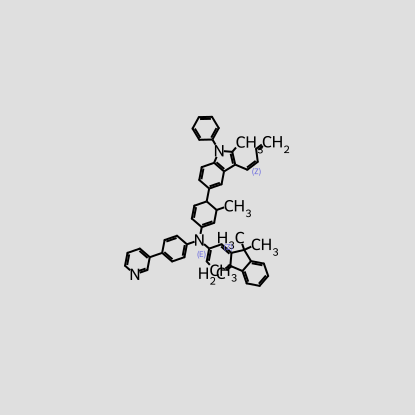 C=C/C=C\c1c(C)n(-c2ccccc2)c2ccc(C3C=CC(N(C(/C=C4\C(=C)c5ccccc5C4(C)C)=C/C)c4ccc(-c5cccnc5)cc4)=CC3C)cc12